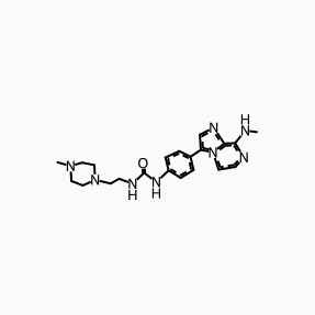 CNc1nccn2c(-c3ccc(NC(=O)NCCN4CCN(C)CC4)cc3)cnc12